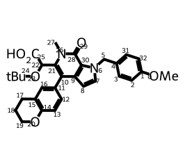 COc1ccc(Cn2ccc3c(-c4ccc5c(c4)CCCO5)c(C(OC(C)(C)C)C(=O)O)n(C)c(=O)c32)cc1